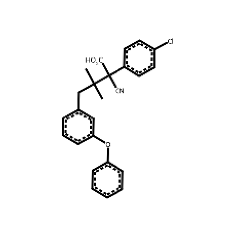 CC(C)(Cc1cccc(Oc2ccccc2)c1)C(C#N)(C(=O)O)c1ccc(Cl)cc1